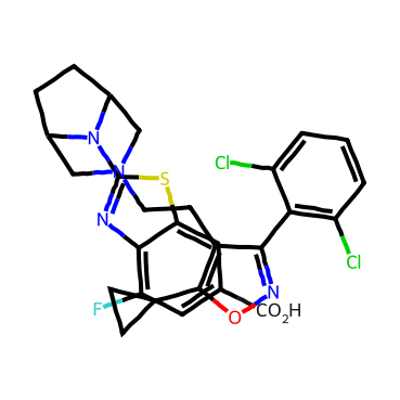 O=C(O)c1cc(F)c2nc(N3C4CCC3CN(CCc3c(-c5c(Cl)cccc5Cl)noc3C3CC3)C4)sc2c1